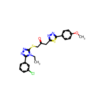 CCn1c(SCC(=O)Cc2nnc(-c3ccc(OC)cc3)s2)nnc1-c1cccc(Cl)c1